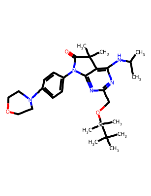 CC(C)Nc1nc(CO[Si](C)(C)C(C)(C)C)nc2c1C(C)(C)C(=O)N2c1ccc(N2CCOCC2)cc1